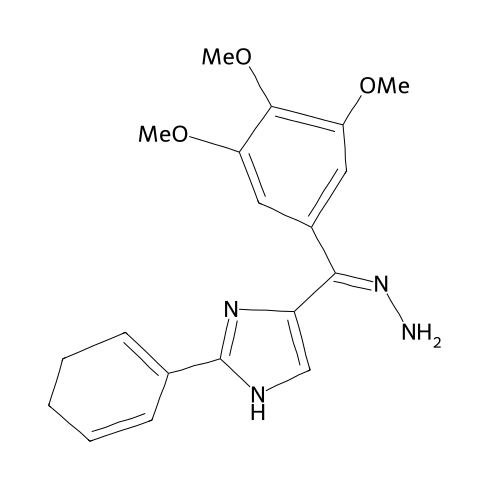 COc1cc(C(=NN)c2c[nH]c(C3=CCCC=C3)n2)cc(OC)c1OC